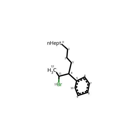 CCCCCCCCCCC(c1ccccc1)C(C)Br